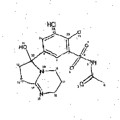 CC(=O)NS(=O)(=O)c1cc(C2(O)CSC3=NCCCN32)ccc1Cl.Cl